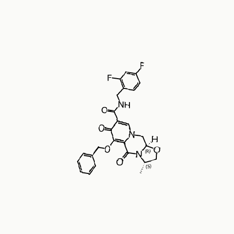 C[C@H]1CO[C@@H]2Cn3cc(C(=O)NCc4ccc(F)cc4F)c(=O)c(OCc4ccccc4)c3C(=O)N12